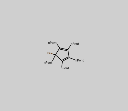 CCCCCC1=C(CCCCC)C(Br)(CCCCC)C(CCCCC)=C1CCCCC